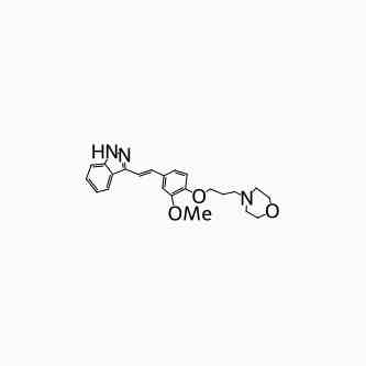 COc1cc(C=Cc2n[nH]c3ccccc23)ccc1OCCCN1CCOCC1